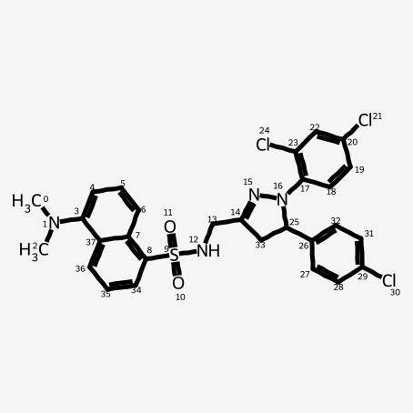 CN(C)c1cccc2c(S(=O)(=O)NCC3=NN(c4ccc(Cl)cc4Cl)C(c4ccc(Cl)cc4)C3)cccc12